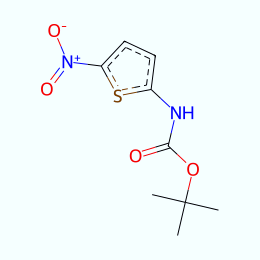 CC(C)(C)OC(=O)Nc1ccc([N+](=O)[O-])s1